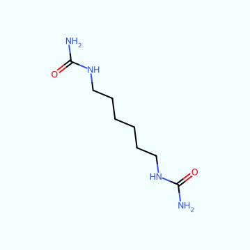 NC(=O)NCCCCCCNC(N)=O